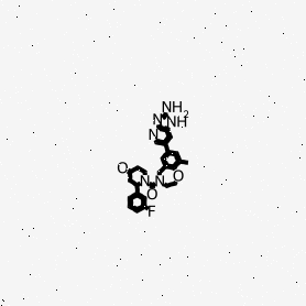 Cc1cc(-c2cnc3nc(N)[nH]c3c2)cc2c1OCCN(C(=O)N1CCC(=O)CC1c1cccc(F)c1)C2